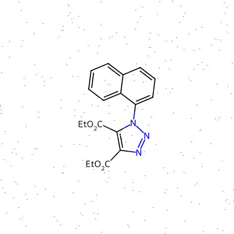 CCOC(=O)c1nnn(-c2cccc3ccccc23)c1C(=O)OCC